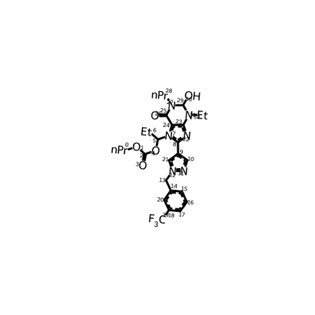 CCCOC(=O)OC(CC)n1c(-c2cnn(Cc3cccc(C(F)(F)F)c3)c2)nc2c1C(=O)N(CCC)C(O)N2CC